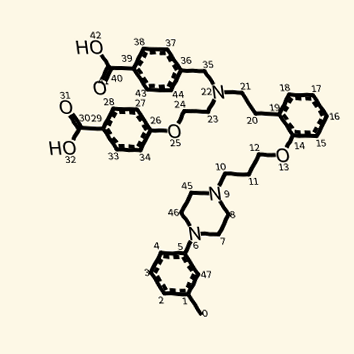 Cc1cccc(N2CCN(CCCOc3ccccc3CCN(CCOc3ccc(C(=O)O)cc3)Cc3ccc(C(=O)O)cc3)CC2)c1